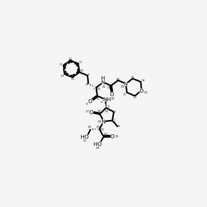 CC1C[C@H](NC(=O)[C@H](CCc2ccccc2)NC(=O)CN2CCOCC2)C(=O)N1[C@@H](CO)C(=O)O